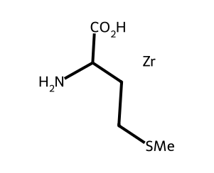 CSCCC(N)C(=O)O.[Zr]